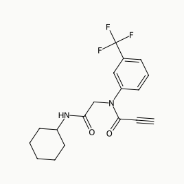 C#CC(=O)N(CC(=O)NC1CCCCC1)c1cccc(C(F)(F)F)c1